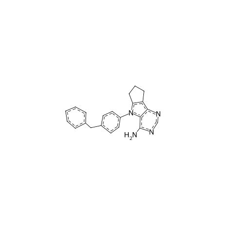 Nc1ncnc2c3c(n(-c4ccc(Cc5ccccc5)cc4)c12)CCC3